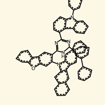 c1ccc(-c2cccc(C3N=C(c4cccc5c4c4ccccc4n5-c4ccccc4)N=C(c4cc5c(cc4-n4c6cc7ccccc7cc6c6cc7ccccc7cc64)oc4ccccc45)N3)c2)cc1